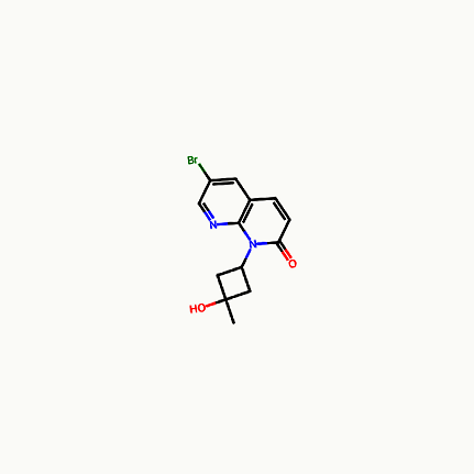 CC1(O)CC(n2c(=O)ccc3cc(Br)cnc32)C1